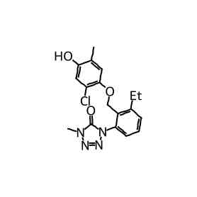 CCc1cccc(-n2nnn(C)c2=O)c1COc1cc(C)c(O)cc1Cl